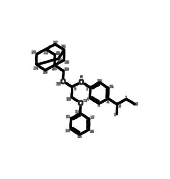 CCC(C)c1ccc(OC(COc2ccccc2)OCC23CC4CC(CC(C4)C2)C3)cc1